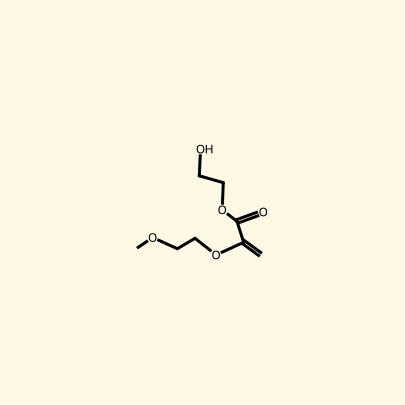 C=C(OCCOC)C(=O)OCCO